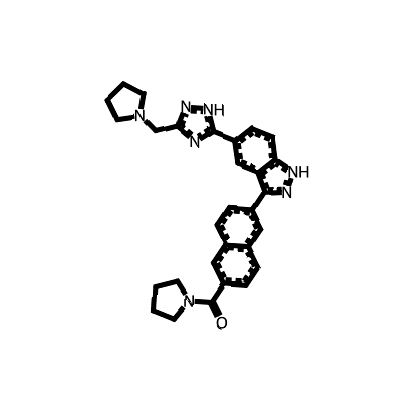 O=C(c1ccc2cc(-c3n[nH]c4ccc(-c5nc(CN6CCCC6)n[nH]5)cc34)ccc2c1)N1CCCC1